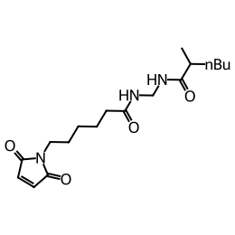 CCCCC(C)C(=O)NCNC(=O)CCCCCN1C(=O)C=CC1=O